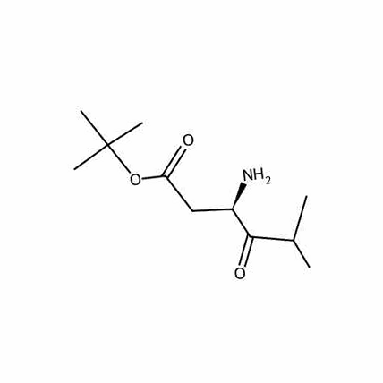 CC(C)C(=O)[C@H](N)CC(=O)OC(C)(C)C